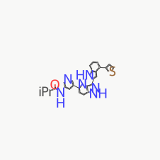 CC(C)C(=O)Nc1cncc(-c2ccc3[nH]nc(-c4cc5c(-c6ccsc6)cccc5[nH]4)c3n2)c1